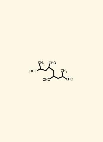 CC(C=O)CC(C=O)CC(C=O)CC(C)C=O